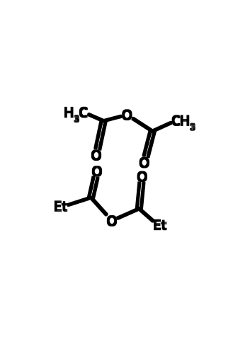 CC(=O)OC(C)=O.CCC(=O)OC(=O)CC